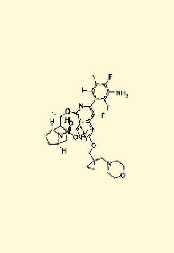 Cc1c(F)c(N)c(F)c(-c2nc3c4c(nc(OCC5(CN6CCOCC6)CC5)nc4c2F)N2C[C@H]4CC[C@@H]([C@H]2[C@H](C)O3)N4C(=O)OC(C)(C)C)c1I